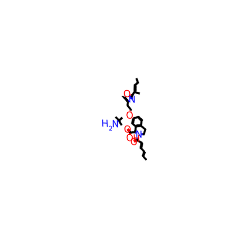 CC(C)(C)N.CC=CC=CC(=O)N1CCc2ccc(OCCc3coc(/C(C)=C/CC)n3)cc2C1C(=O)O